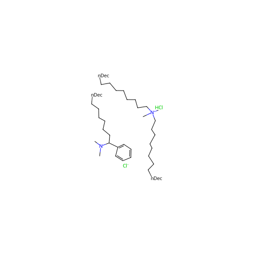 CCCCCCCCCCCCCCCCC(c1ccccc1)N(C)C.CCCCCCCCCCCCCCCCCC[N+](C)(C)CCCCCCCCCCCCCCCCCC.Cl.[Cl-]